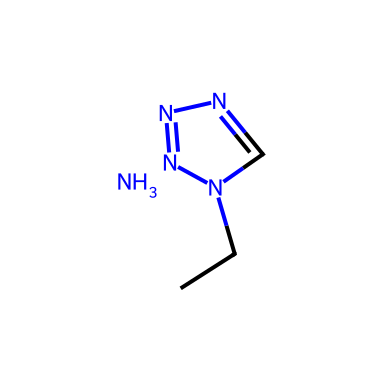 CCn1cnnn1.N